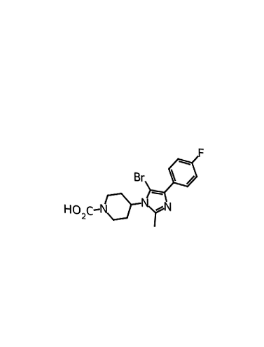 Cc1nc(-c2ccc(F)cc2)c(Br)n1C1CCN(C(=O)O)CC1